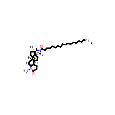 CCCCCCCCCCCCCCCCCC(=O)NC(C)[C@H]1CC[C@H]2[C@@H]3CCC4N(C)C(=O)CC[C@]4(C)[C@H]3CC[C@]12C